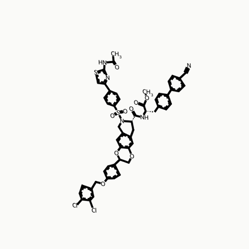 COC(=O)[C@H](Cc1ccc(-c2ccc(C#N)cc2)cc1)NC(=O)[C@@H]1Cc2cc3c(cc2CN1S(=O)(=O)c1ccc(-c2csc(NC(C)=O)n2)cc1)OC(c1ccc(OCc2ccc(Cl)c(Cl)c2)cc1)CO3